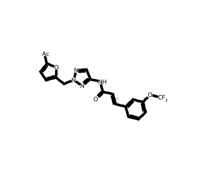 CC(=O)c1ccc(Cn2ncc(NC(=O)/C=C/c3cccc(OC(F)(F)F)c3)n2)o1